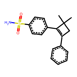 CC1(C)CC(c2ccccc2)=C1c1ccc(S(N)(=O)=O)cc1